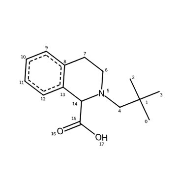 CC(C)(C)CN1CCc2ccccc2C1C(=O)O